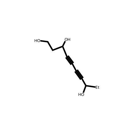 CCC(O)C#CC#CC(O)CCO